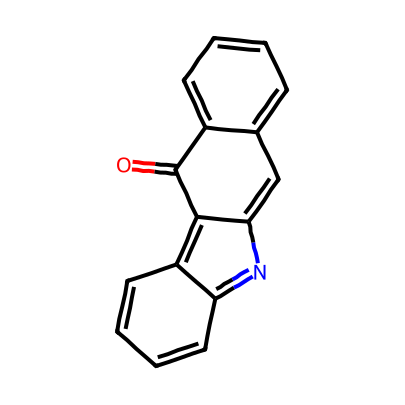 O=C1C2=c3ccccc3=NC2=Cc2ccccc21